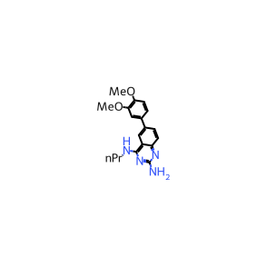 CCCNc1nc(N)nc2ccc(-c3ccc(OC)c(OC)c3)cc12